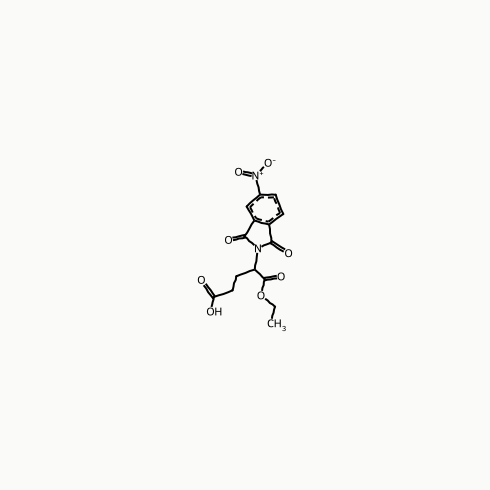 CCOC(=O)C(CCC(=O)O)N1C(=O)c2ccc([N+](=O)[O-])cc2C1=O